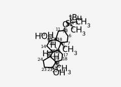 CC(C)(C)[Si](C)(C)O[C@H]1CC[C@@]2(C)[C@H](C1)[C@@H](O)C[C@@H]1[C@@H]2CC[C@]2(C)[C@@H](O)CC[C@@H]12